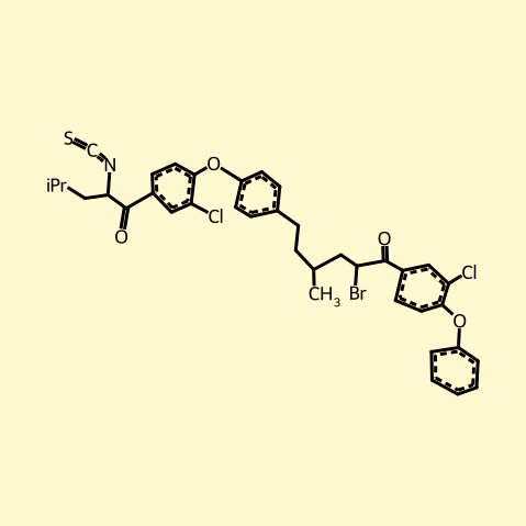 CC(C)CC(N=C=S)C(=O)c1ccc(Oc2ccc(CCC(C)CC(Br)C(=O)c3ccc(Oc4ccccc4)c(Cl)c3)cc2)c(Cl)c1